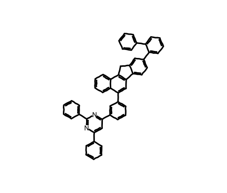 c1ccc(-c2cc(-c3cccc(-c4cc5c(c6ccccc46)Cc4cc(-c6ccccc6-c6ccccc6)ccc4-5)c3)nc(-c3ccccc3)n2)cc1